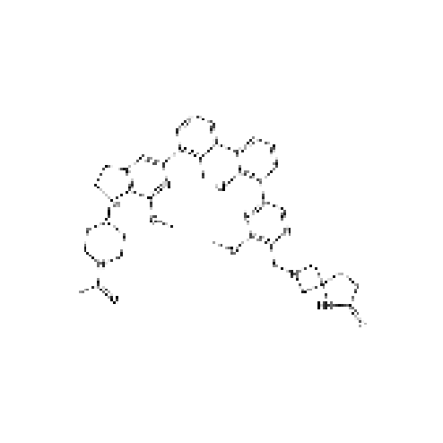 COc1nc(-c2cccc(-c3cccc(-c4cc5c(c(OC)n4)[C@@H](N4CCN(C(C)=O)CC4)CC5)c3C)c2Cl)cnc1CN1CC2(CCC(=O)N2)C1